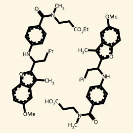 CCOC(=O)CCN(C)C(=O)c1ccc(NC(CC(C)C)c2oc3ccc(OC)cc3c2C)cc1.COc1ccc2oc(C(CC(C)C)Nc3ccc(C(=O)N(C)CCC(=O)O)cc3)c(C)c2c1